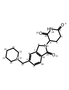 O=C1CCC(N2Cc3cc(CN4CCCCC4)ccc3C2=O)C(=O)N1